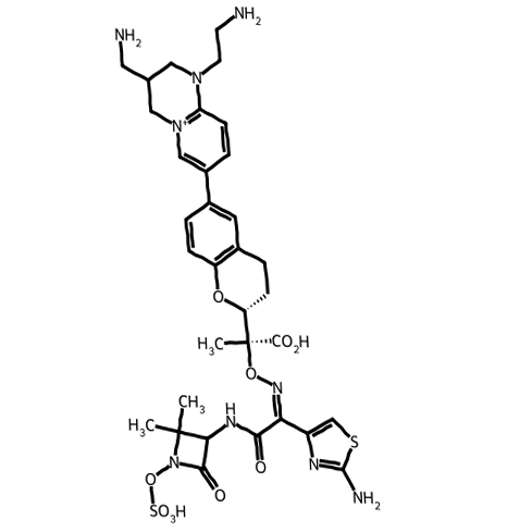 CC1(C)C(NC(=O)/C(=N\O[C@](C)(C(=O)O)[C@H]2CCc3cc(-c4ccc5[n+](c4)CC(CN)CN5CCN)ccc3O2)c2csc(N)n2)C(=O)N1OS(=O)(=O)O